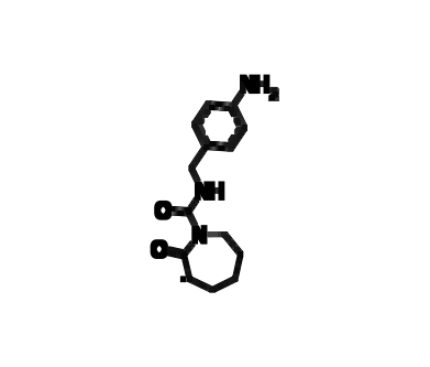 Nc1ccc(CNC(=O)N2CCCC[CH]C2=O)cc1